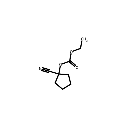 CCOC(=O)OC1(C#N)CCCC1